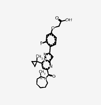 C[C@@H]1CCCCCN1C(=O)c1cc(C2(C)CC2)n2nc(-c3ccc(OCC(=O)O)cc3F)cc2n1